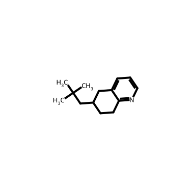 CC(C)(C)CC1CCc2ncccc2C1